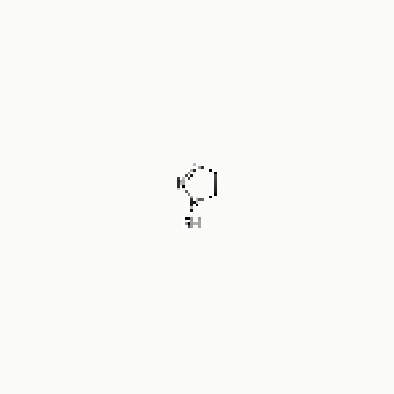 Sn1cccn1